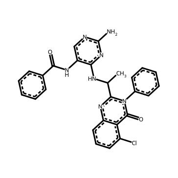 CC(Nc1nc(N)ncc1NC(=O)c1ccccc1)c1nc2cccc(Cl)c2c(=O)n1-c1ccccc1